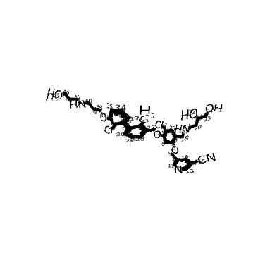 Cc1c(COc2cc(OCc3cncc(C#N)c3)c(CNC[C@H](O)CO)cc2Cl)cccc1-c1cccc(OCCCNCCCO)c1Cl